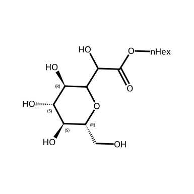 CCCCCCOC(=O)C(O)C1O[C@H](CO)[C@@H](O)[C@H](O)[C@H]1O